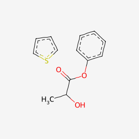 CC(O)C(=O)Oc1ccccc1.c1ccsc1